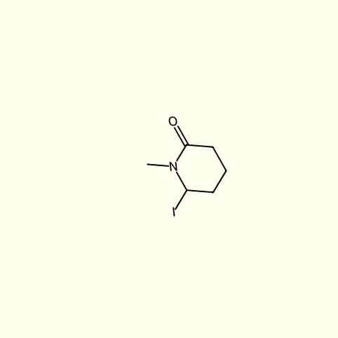 CN1C(=O)CCCC1I